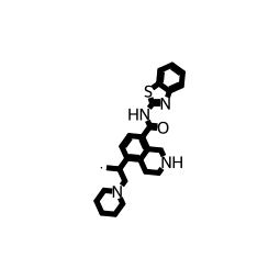 [CH2]C(CN1CCCCC1)c1ccc(C(=O)Nc2nc3ccccc3s2)c2c1CCNC2